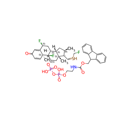 C[C@@H]1C[C@H]2[C@@H]3C[C@H](F)C4=CC(=O)C=C[C@]4(C)[C@@]3(F)[C@@H](OP(=O)(O)OP(=O)(O)OCCNC(=O)OCC3c4ccccc4-c4ccccc43)C[C@@]2(C)[C]1C=[SH]CF